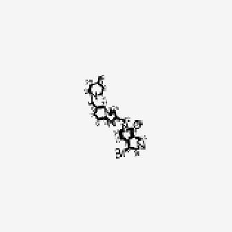 CC1CCN(Cc2ccc3nc(Cn4ccc5c(Br)cncc5c4=O)cn3c2)CC1